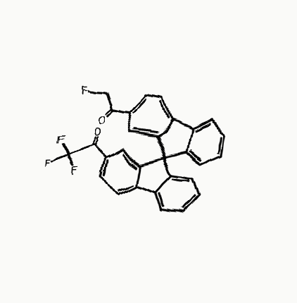 O=C(CF)c1ccc2c(c1)C1(c3ccccc3-2)c2ccccc2-c2ccc(C(=O)C(F)(F)F)cc21